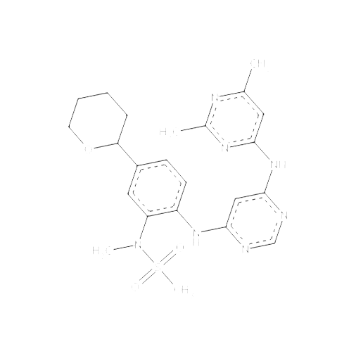 Cc1cc(Nc2cc(Nc3ccc(C4CCCCO4)cc3N(C)S(C)(=O)=O)ncn2)nc(C)n1